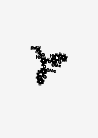 COc1cc2c(cc1OCc1cc(COc3cc4c(cc3OC)C(=O)N3c5ccccc5CC3CN4)cc(NC(=O)CCC(C)(C)SC(C)C)c1)N=CC1Cc3ccccc3N1C2=O